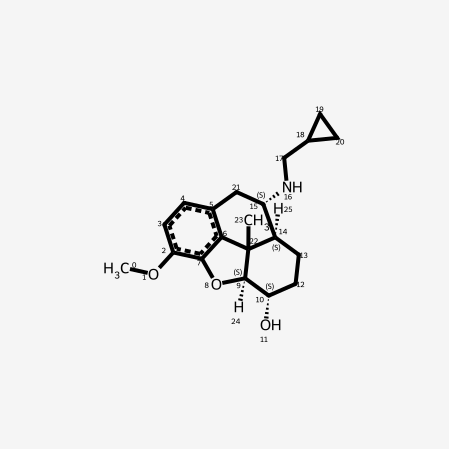 COc1ccc2c3c1O[C@@H]1[C@@H](O)CC[C@H]([C@@H](NCC4CC4)C2)C31C